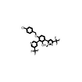 Cn1nc(C(F)(F)F)cc1-c1ccc(OCc2ccc(Cl)cc2)c(-c2cncc(C(F)(F)F)c2)c1O